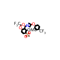 COc1c(S(C)(=O)=O)ccc(OCC(F)(F)F)c1C(=O)N1CC(Oc2ccc(C(F)(F)F)cc2)C1